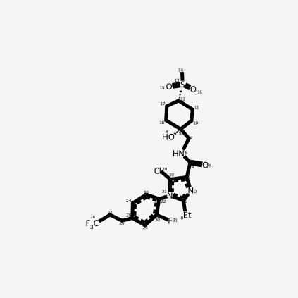 CCc1nc(C(=O)NC[C@]2(O)CC[C@@H](S(C)(=O)=O)CC2)c(Cl)n1-c1ccc(CCC(F)(F)F)cc1F